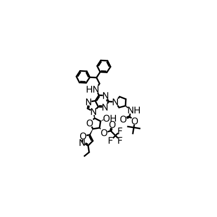 CCc1cc([C@H]2O[C@@H](n3cnc4c(NCC(c5ccccc5)c5ccccc5)nc(N5CC[C@@H](NC(=O)OC(C)(C)C)C5)nc43)[C@H](O)[C@@H]2OC(=O)C(F)(F)F)on1